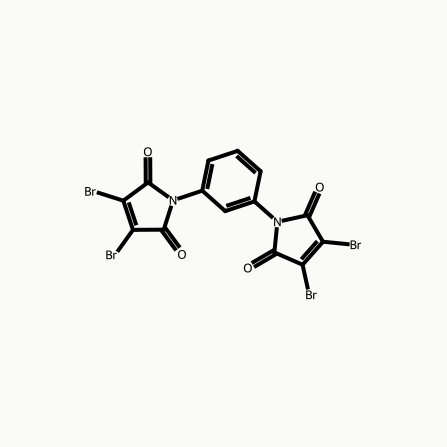 O=C1C(Br)=C(Br)C(=O)N1c1cccc(N2C(=O)C(Br)=C(Br)C2=O)c1